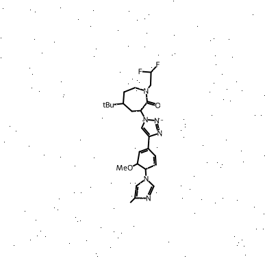 COC1C=C(c2cn(C3CC(C(C)(C)C)CCN(CC(F)F)C3=O)nn2)C=CC1n1cnc(C)c1